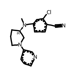 CN(c1ccc(C#N)c(Cl)c1)[C@@H]1CCCN(c2cccnc2)C1